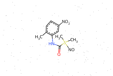 Cc1ccc([N+](=O)[O-])cc1NC(=O)S(C)(C)N=O